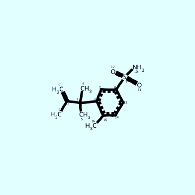 C=C(C)C(C)(C)c1cc(S(N)(=O)=O)ccc1C